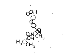 CCC(C)COC(=O)NCc1c(C)noc1-c1ccc(O[C@@H]2CCC[C@@H](C(=O)O)C2)cc1